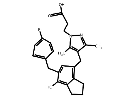 Cc1nn(CCC(=O)O)c(C)c1Cc1cc(Cc2ccc(F)cc2)c(O)c2c1CCC2